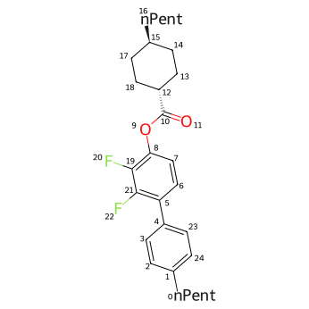 CCCCCc1ccc(-c2ccc(OC(=O)[C@H]3CC[C@H](CCCCC)CC3)c(F)c2F)cc1